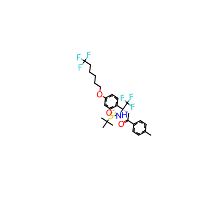 Cc1ccc(C(=O)C[C@](N[S+]([O-])C(C)(C)C)(c2ccc(OCCCCCC(F)(F)F)cc2)C(F)(F)F)cc1